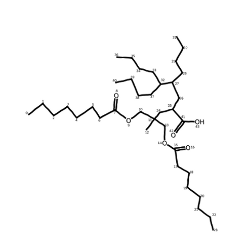 CCCCCCCC(=O)OCC(C)(COC(=O)CCCCCCC)CC(CC(CCCC)C(CCCC)CCCC)C(=O)O